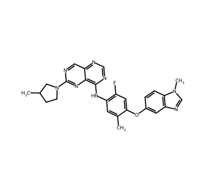 Cc1cc(Nc2ncnc3cnc(N4CCC(C)C4)nc23)c(F)cc1Oc1ccc2c(c1)ncn2C